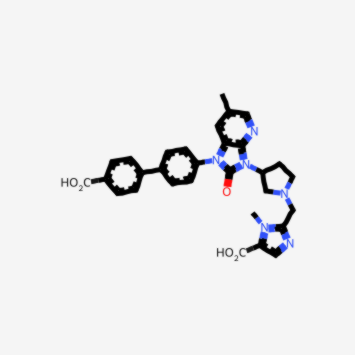 Cc1cnc2c(c1)n(-c1ccc(-c3ccc(C(=O)O)cc3)cc1)c(=O)n2C1CCN(Cc2ncc(C(=O)O)n2C)C1